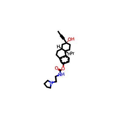 CC#C[C@@]1(O)CC[C@]2(CCC)c3ccc(OC(=O)NCCN4CCCC4)cc3CC[C@H]2C1